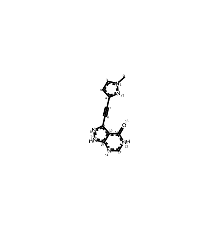 Cn1ccc(C#Cc2n[nH]c3nc[nH]c(=O)c23)n1